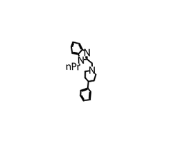 CCCn1c(CN2CCC(c3ccccc3)CC2)nc2ccccc21